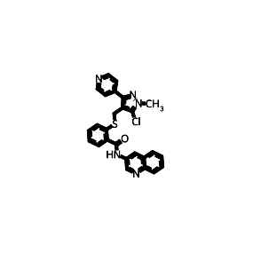 Cn1nc(-c2ccncc2)c(CSc2ccccc2C(=O)Nc2cnc3ccccc3c2)c1Cl